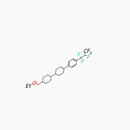 CCOCC1CCC(C2CCC(c3ccc(C(F)(F)C(F)C(F)(F)F)cc3)CC2)CC1